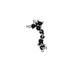 Cc1cc(F)ccc1[C@H]1COc2cc(O)ccc2[C@H]1c1ccc(N2CCC(CN3CCN(c4ccc5c(c4)CN([C@H]4CCC(=O)NC4=O)C5=O)CC3)CC2)c(F)c1